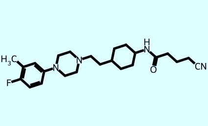 Cc1cc(N2CCN(CCC3CCC(NC(=O)CCCC#N)CC3)CC2)ccc1F